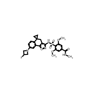 CNC(=O)c1cc(OC)c(S(=O)(=O)Nc2noc3c2CC2(CC2)c2ccc(N4CC(F)C4)cc2-3)c(OC)c1